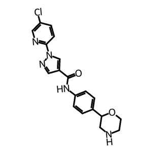 O=C(Nc1ccc(C2CNCCO2)cc1)c1cnn(-c2ccc(Cl)cn2)c1